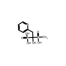 CP(=O)(O)C(O)(Cc1ccccn1)P(=O)(O)O